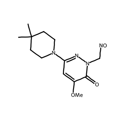 COc1cc(N2CCC(C)(C)CC2)nn(CN=O)c1=O